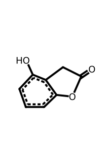 O=C1Cc2c(O)cccc2O1